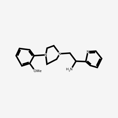 COc1ccccc1N1CCN(CC(N)c2ccccn2)CC1